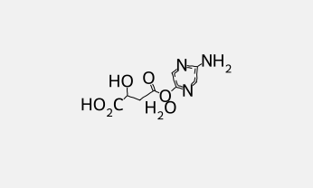 Nc1cnc(OC(=O)CC(O)C(=O)O)cn1.O